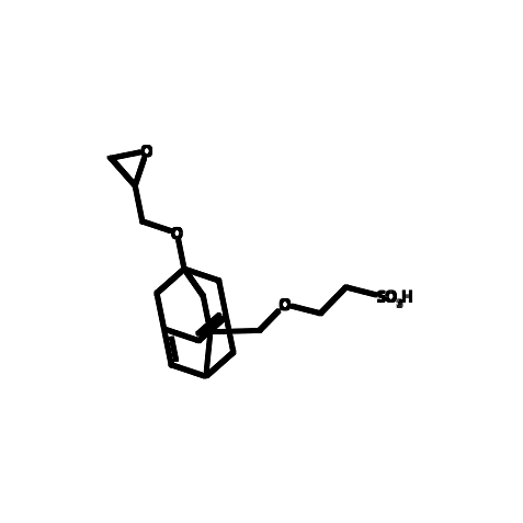 O=S(=O)(O)CCOCC1CC2(OCC3CO3)CC3=CC1CC(=C3)C2